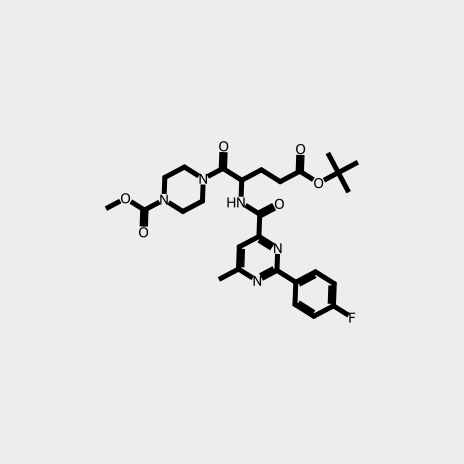 COC(=O)N1CCN(C(=O)C(CCC(=O)OC(C)(C)C)NC(=O)c2cc(C)nc(-c3ccc(F)cc3)n2)CC1